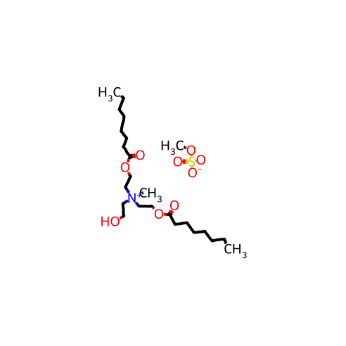 CCCCCCCC(=O)OCC[N+](C)(CCO)CCOC(=O)CCCCCCC.COS(=O)(=O)[O-]